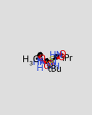 CC(C)OC(=O)Nc1ccc(-c2ncc(-c3ccc(NC(=O)NC(C)c4ccccc4)cc3S(=O)(=O)NC(C)(C)C)s2)cc1